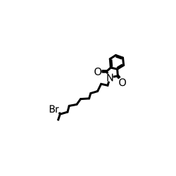 CC(Br)CCCCCCCCCN1C(=O)c2ccccc2C1=O